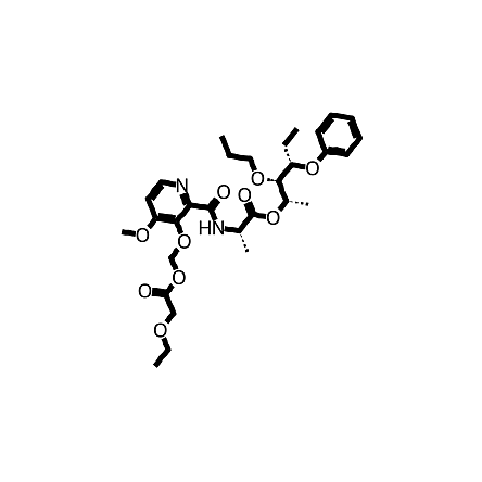 CCCO[C@@H]([C@H](C)OC(=O)[C@H](C)NC(=O)c1nccc(OC)c1OCOC(=O)COCC)[C@H](CC)Oc1ccccc1